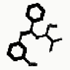 CCCCCC(OC(=Nc1cccc(OC)c1)c1ccccc1)C(C)F